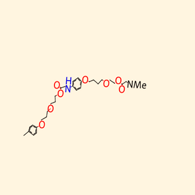 CNCC(=O)OCCOCCCCOc1ccc(NCC(=O)OCCCOCCCOc2ccc(C)cc2)cc1